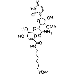 CCCCCCCCCCCCCCCCNC(=O)C1=C[C@H](O)[C@H](O)[C@@H](O[C@@H](C(N)=O)[C@H]2O[C@@H](n3ccc(=O)[nH]c3=O)[C@H](O)[C@@H]2OC)O1